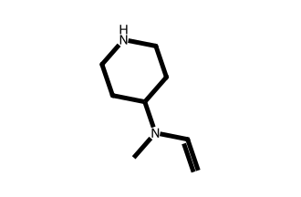 C=CN(C)C1CCNCC1